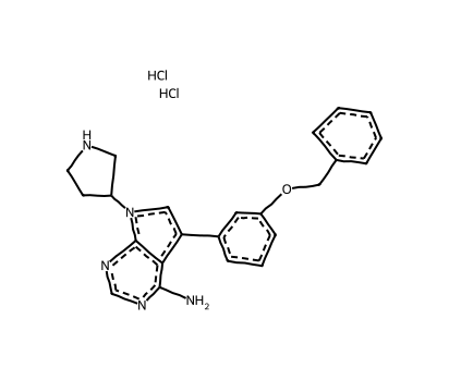 Cl.Cl.Nc1ncnc2c1c(-c1cccc(OCc3ccccc3)c1)cn2C1CCNC1